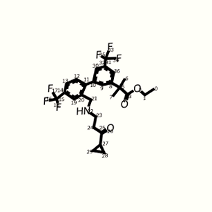 CCOC(=O)C(C)(C)c1cc(-c2ccc(C(F)(F)F)cc2CNCCC(=O)C2CC2)cc(C(F)(F)F)c1